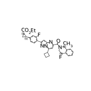 CCOC(=O)[C@H]1C[C@@H]1c1ccc(-c2cc3nc(C(=O)N4C[C@@H](F)c5ccccc5[C@H]4C)cc(C4CCC4)n3n2)c(F)c1